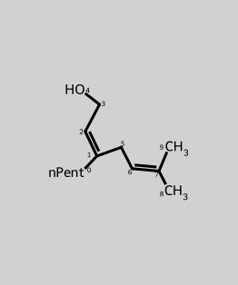 CCCCC/C(=C/CO)CC=C(C)C